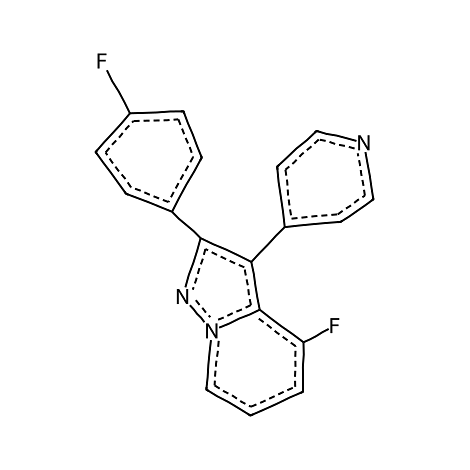 Fc1ccc(-c2nn3cccc(F)c3c2-c2ccncc2)cc1